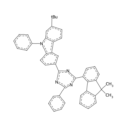 CC(C)(C)c1ccc2c3cc(-c4nc(-c5ccccc5)nc(-c5cccc6c5-c5ccccc5C6(C)C)n4)ccc3n(-c3ccccc3)c2c1